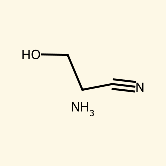 N.N#CCCO